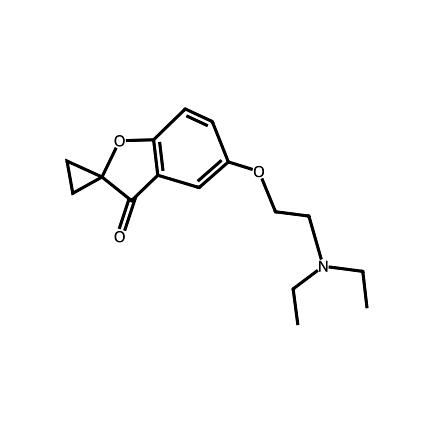 CCN(CC)CCOc1ccc2c(c1)C(=O)C1(CC1)O2